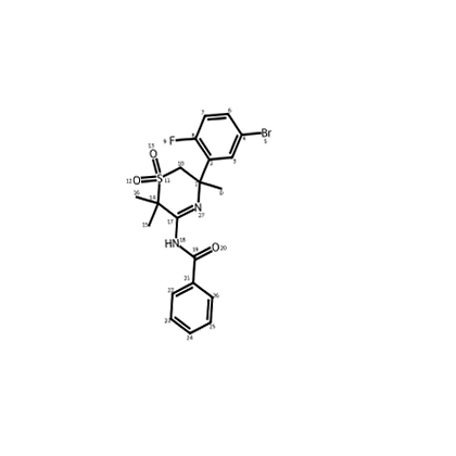 CC1(c2cc(Br)ccc2F)CS(=O)(=O)C(C)(C)C(NC(=O)c2ccccc2)=N1